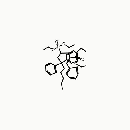 CCCCCC(CC(CC(Cc1ccccc1)P(=O)(OCC)OCC)P(=O)(OCC)OCC)(c1ccccc1)c1ccccc1